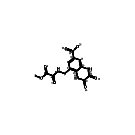 COC(=O)C(=O)NCc1cc([N+](=O)[O-])cc2[nH]c(=O)c(=O)[nH]c12